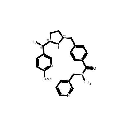 COc1ccc([C@@H](O)[C@H]2CC[C@@H](Cc3ccc(C(=O)N(C)Cc4cccnc4)cc3)N2)cn1